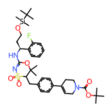 CC(C)(C)OC(=O)N1CC=C(c2ccc(CC3C(C)(C)OC(N[C@@H](CCO[Si](C)(C)C(C)(C)C)c4ccccc4F)=NS3(=O)=O)cc2)CC1